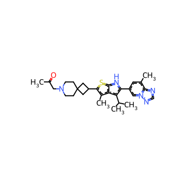 CC(=O)CN1CCC2(CC1)CC(c1sc3[nH]c(-c4cc(C)c5ncnn5c4)c(C(C)C)c3c1C)C2